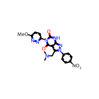 COc1ccc(-n2c(=O)[nH]c3nn(-c4ccc([N+](=O)[O-])cc4)c(CN(C)C)c3c2=O)nn1